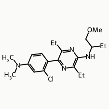 CCc1nc(-c2ccc(N(C)C)cc2Cl)c(CC)nc1NC(CC)COC